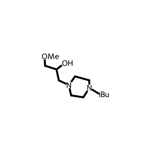 CCC(C)N1CCN(CC(O)COC)CC1